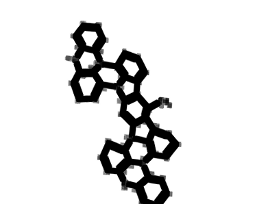 Cc1c2c3cccc4c3n(c2cc2c1c1cccc3c1n2-c1cccc2c1B3c1ccccc1O2)-c1cccc2c1B4c1ccccc1O2